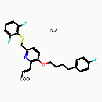 O=C([O-])C=Cc1nc(CSc2c(F)cccc2F)ccc1OCCCCc1ccc(F)cc1.[Na+]